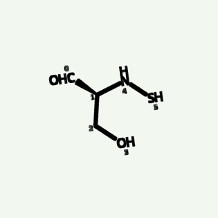 O=C[C@H](CO)NS